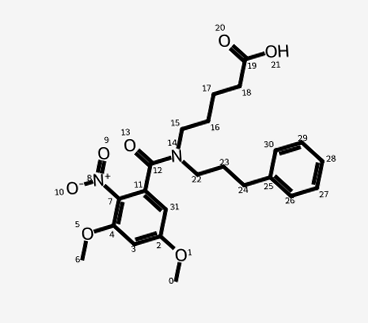 COc1cc(OC)c([N+](=O)[O-])c(C(=O)N(CCCCC(=O)O)CCCc2ccccc2)c1